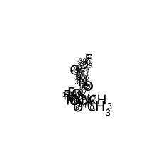 CC(C)c1cc(=O)n(OC(=O)C(F)(F)F)c(CCCC(=O)N2CCC(C(=O)c3ccc(F)cc3)CC2)n1